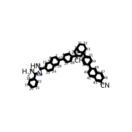 CC1(c2ccc(-c3ccc4cc(C(=N)/N=C(\N)c5ccccc5)ccc4c3)cc2)CC2CCCC(c3ccc(-c4ccc5cc(C#N)ccc5c4)cc3)(C2)C1